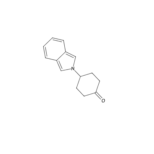 O=C1CCC(n2cc3ccccc3c2)CC1